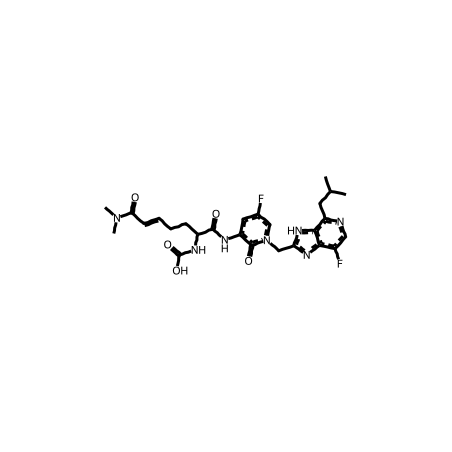 CC(C)Cc1ncc(F)c2nc(Cn3cc(F)cc(NC(=O)C(CC/C=C/C(=O)N(C)C)NC(=O)O)c3=O)[nH]c12